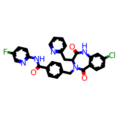 O=C(Nc1ccc(F)cn1)c1ccc(CN2C(=O)c3ccc(Cl)cc3NC(=O)C2Cc2ccccn2)cc1